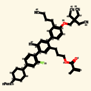 C=C(C)C(=O)OCCCc1cc(-c2ccc(C3CCC(CCCCC)CC3)cc2F)c(CC)cc1-c1ccc(OCC(CC#N)(CC#N)CC#N)c(CCCC#N)c1